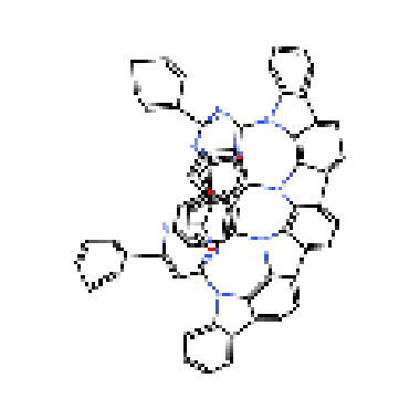 c1ccc(-c2cc(-n3c4ccccc4c4ccc5c6ccc7c8ccc9c%10ccccc%10n(-c%10nc(-c%11ccccc%11)nc(-c%11ccccc%11)n%10)c9c8n(-c8ccccc8)c7c6n(-c6ccccc6)c5c43)nc(-c3ccccc3)n2)cc1